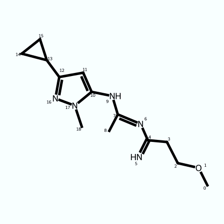 COCCC(=N)/N=C(\C)Nc1cc(C2CC2)nn1C